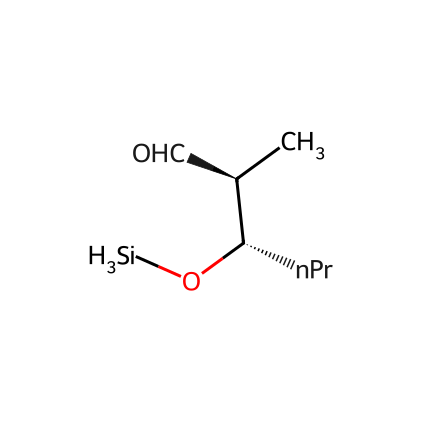 CCC[C@H](O[SiH3])[C@H](C)C=O